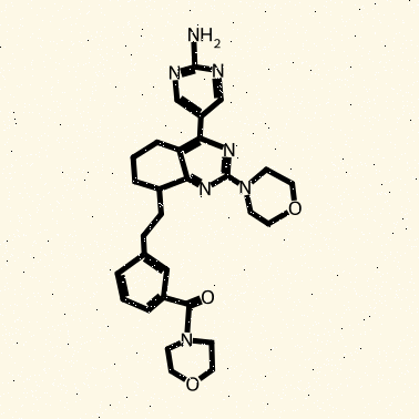 Nc1ncc(-c2nc(N3CCOCC3)nc3c2CCCC3CCc2cccc(C(=O)N3CCOCC3)c2)cn1